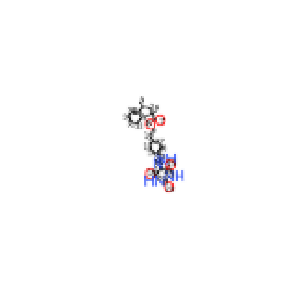 CC(CC(C)(C)C(=O)OCCc1ccc(NN=C2C(=O)NC(=O)NC2=O)cc1)c1ccccc1